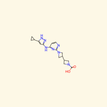 O=C(O)N1CC(C2CN(c3nccc(Nc4cc(C5CC5)[nH]n4)n3)C2)C1